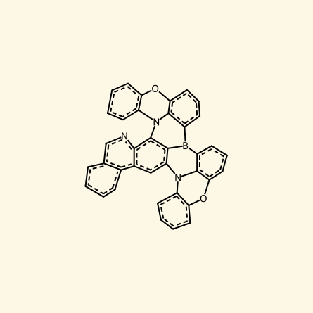 c1ccc2c(c1)Oc1cccc3c1N2c1cc2c(ncc4ccccc42)c2c1B3c1cccc3c1N2c1ccccc1O3